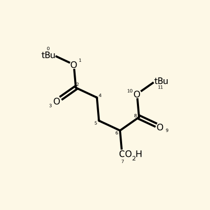 CC(C)(C)OC(=O)CCC(C(=O)O)C(=O)OC(C)(C)C